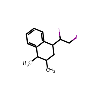 CC1CC(C(I)CI)c2ccccc2C1C